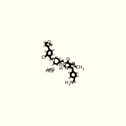 Cl.Cl.Cn1nc2c(=O)n(CC3(O)CCN(Cc4ccc(-c5ccon5)cc4Cl)CC3)cnc2c1-c1ccc(CN)cc1